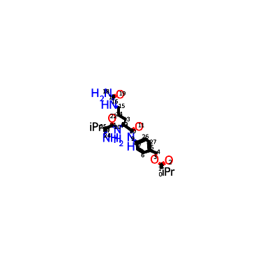 CC(C)C(=O)OCc1ccc(NC(=O)[C@H](CCCNC(N)=O)NC(=O)[C@@H](N)C(C)C)cc1